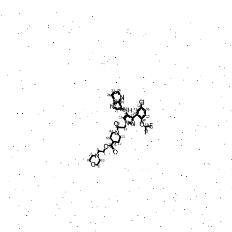 O=C(OCCN1CCOCC1)C1CCN(C(=O)Cn2cc(Nc3cnn4cccnc34)c(-c3cc(Cl)ccc3OC(F)F)n2)CC1